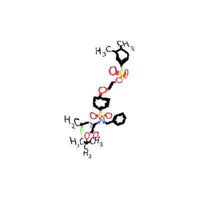 C=C(F)C[C@@H](C(=O)OC(C)(C)C)N(Cc1ccccc1)S(=O)(=O)c1ccc(OCCOS(=O)(=O)C2=CC=C(C)C(C)C2)cc1